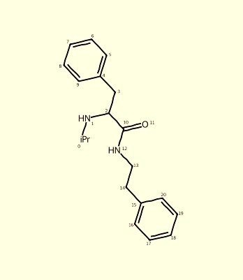 CC(C)NC(Cc1ccccc1)C(=O)NCCc1ccccc1